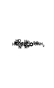 C[C@H](c1ccc(SOON)cc1)N1C(=O)[C@@H]2C[C@H]1CN2C[C@H](N)C(=O)N1[C@H](C#N)C[C@@H]2C[C@@H]21